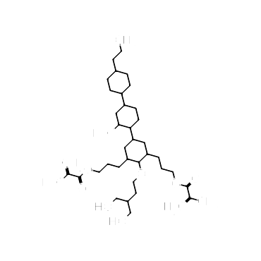 C=C(C)C(=O)OCCCC1CC(C2CCC(C3CCC(CCC)CC3)CC2C)CC(CCCOC(=O)C(=C)C)C1OCCC(CO)CO